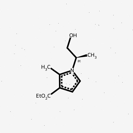 CCOC(=O)c1ccn([C@H](C)CO)c1C